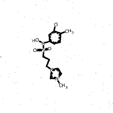 Cc1ccc(N(O)S(=O)(=O)CCCn2cc[n+](C)c2)cc1Cl